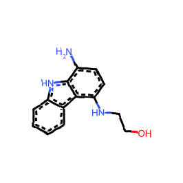 Nc1ccc(NCCO)c2c1[nH]c1ccccc12